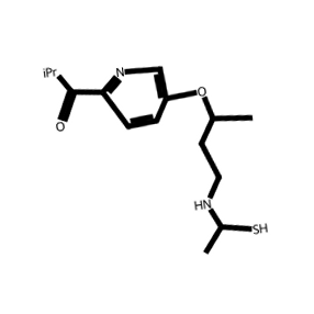 CC(S)NCCC(C)Oc1ccc(C(=O)C(C)C)nc1